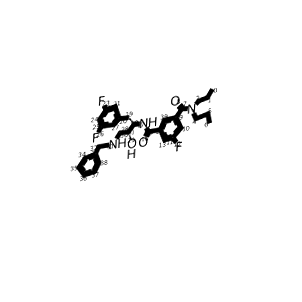 CCCN(CCC)C(=O)c1cc(F)cc(C(=O)N[C@@H](Cc2cc(F)cc(F)c2)[C@H](O)CNCc2ccccc2)c1